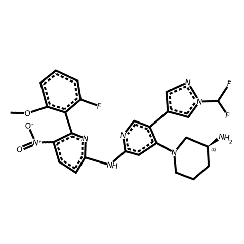 COc1cccc(F)c1-c1nc(Nc2cc(N3CCC[C@H](N)C3)c(-c3cnn(C(F)F)c3)cn2)ccc1[N+](=O)[O-]